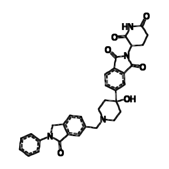 O=C1CCC(N2C(=O)c3ccc(C4(O)CCN(Cc5ccc6c(c5)C(=O)N(c5ccccc5)C6)CC4)cc3C2=O)C(=O)N1